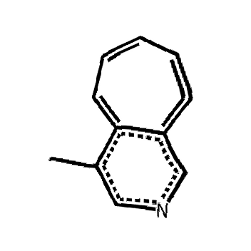 Cc1cncc2c1=CC=CC=C=2